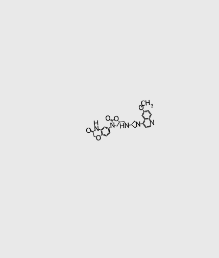 COc1ccc2nccc(N3CC(NCC4CN(c5ccc6c(c5)NC(=O)CO6)C(=O)O4)C3)c2c1